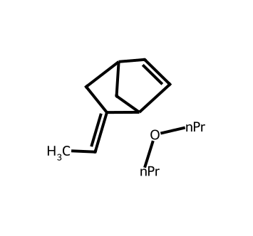 CC=C1CC2C=CC1C2.CCCOCCC